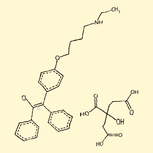 CCNCCCCOc1ccc(/C(=C(\Cl)c2ccccc2)c2ccccc2)cc1.O=C(O)CC(O)(CC(=O)O)C(=O)O